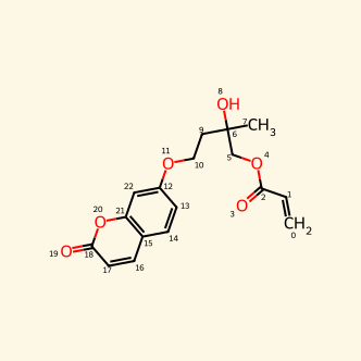 C=CC(=O)OCC(C)(O)CCOc1ccc2ccc(=O)oc2c1